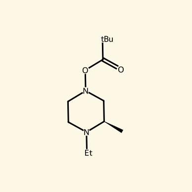 CCN1CCN(OC(=O)C(C)(C)C)C[C@H]1C